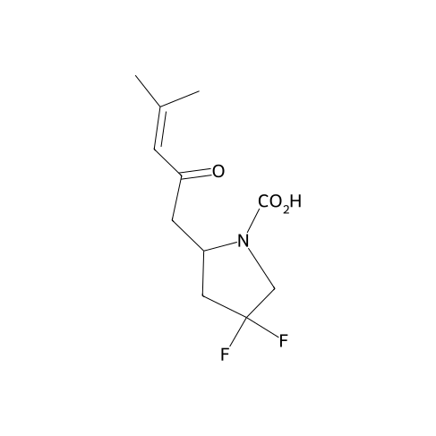 CC(C)=CC(=O)CC1CC(F)(F)CN1C(=O)O